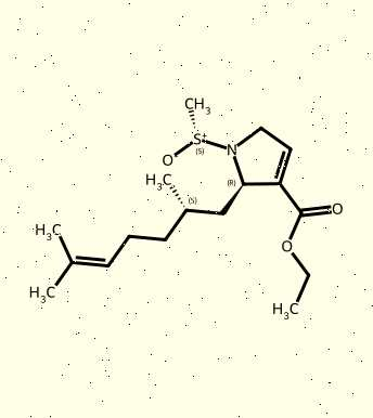 CCOC(=O)C1=CCN([S@@+](C)[O-])[C@@H]1C[C@@H](C)CCC=C(C)C